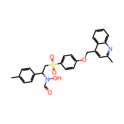 Cc1ccc(C(CS(=O)(=O)c2ccc(OCc3cc(C)nc4ccccc34)cc2)N(O)C=O)cc1